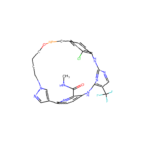 CNC(=O)c1nc2ccc1Nc1nc(ncc1C(F)(F)F)Nc1ccc(cc1Cl)CPOCCCCn1cc-2cn1